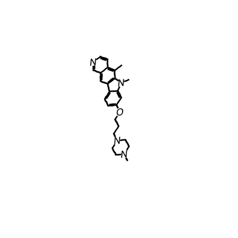 Cc1c2ccncc2cc2c3ccc(OCCCN4CCN(C)CC4)cc3n(C)c12